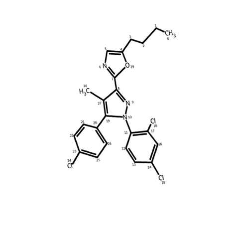 CCCCc1cnc(-c2nn(-c3ccc(Cl)cc3Cl)c(-c3ccc(Cl)cc3)c2C)o1